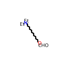 CCN(CC)CCCCCCCCCCCCO[C]=O